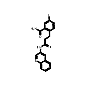 NC(=O)c1cc(F)ccc1C[CH]C(=O)Nc1cnc2ccccc2c1